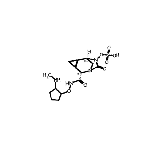 CNC1CCCC1ONC(=O)[C@@H]1C2CC2[C@@H]2CN1C(=O)N2OS(=O)(=O)O